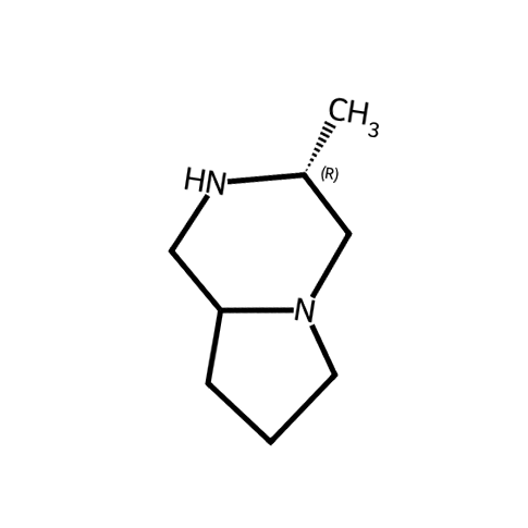 C[C@@H]1CN2CCCC2CN1